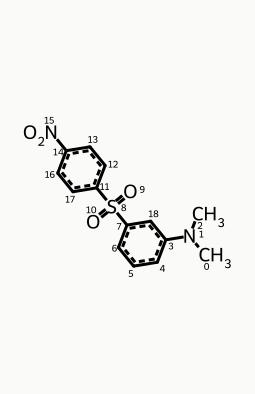 CN(C)c1cccc(S(=O)(=O)c2ccc([N+](=O)[O-])cc2)c1